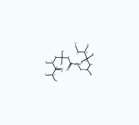 CC(CNC(=O)CC(C)(C)CC(C)C(=O)C(C)C)CC(C)(C)C(C)CI